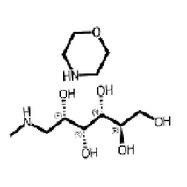 C1COCCN1.CNC[C@H](O)[C@@H](O)[C@H](O)[C@H](O)CO